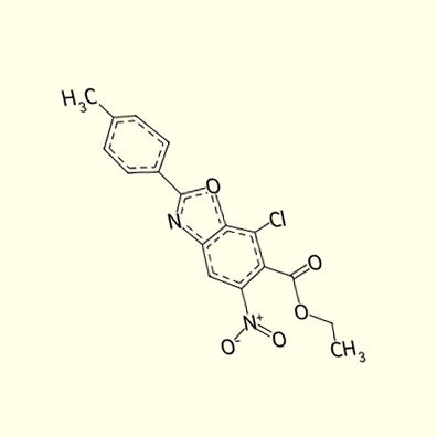 CCOC(=O)c1c([N+](=O)[O-])cc2nc(-c3ccc(C)cc3)oc2c1Cl